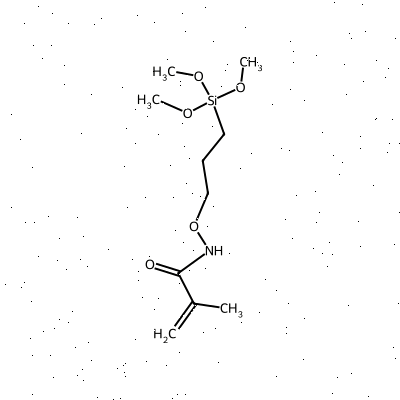 C=C(C)C(=O)NOCCC[Si](OC)(OC)OC